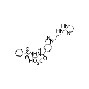 O=C(NCC(NS(=O)(=O)c1ccccc1)C(=O)O)c1ccc2c(cnn2CCCNC2N=CCCN2)c1